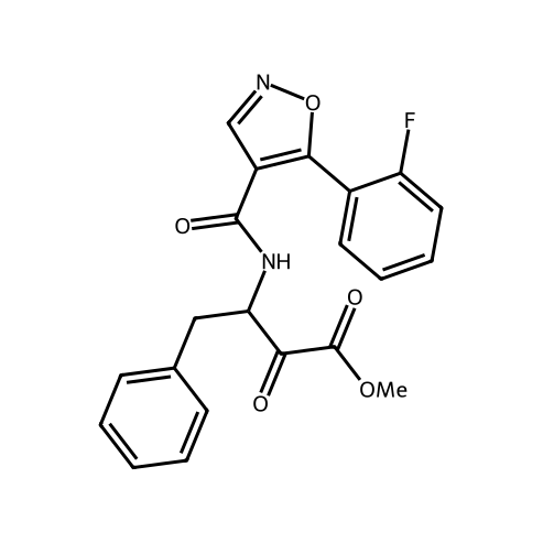 COC(=O)C(=O)C(Cc1ccccc1)NC(=O)c1cnoc1-c1ccccc1F